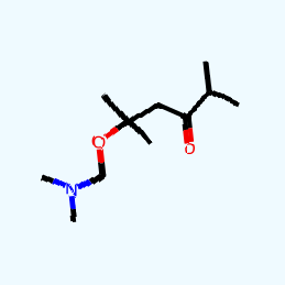 CC(C)C(=O)CC(C)(C)OCN(C)C